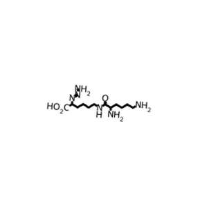 NCCCCC(N)C(=O)NCCCCC(N=NN)C(=O)O